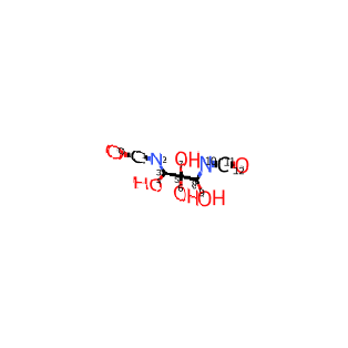 O=C=NC(O)C(O)(O)C(O)N=C=O